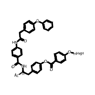 CCCCCCCOc1ccc(C(=O)Oc2ccc(C[C@H](NC(=O)c3ccc(NC(=O)Cc4ccc(Oc5ccccc5)cc4)cc3)C(C)=O)cc2)cc1